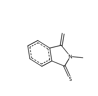 C=C1c2ccccc2C(=S)N1C